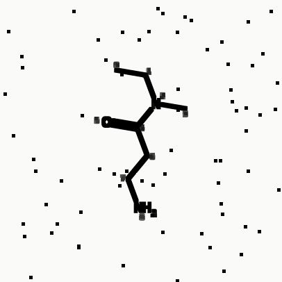 CCN(C)C(=O)CCN